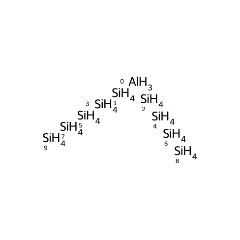 [AlH3].[SiH4].[SiH4].[SiH4].[SiH4].[SiH4].[SiH4].[SiH4].[SiH4].[SiH4]